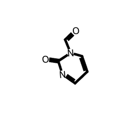 O=Cn1cccnc1=O